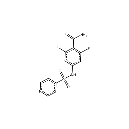 NC(=O)c1c(F)cc(NS(=O)(=O)c2ccncc2)cc1F